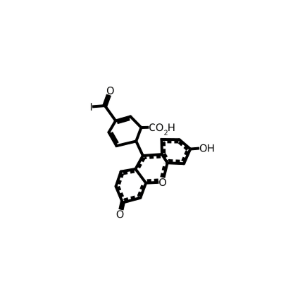 O=C(I)C1=CC(C(=O)O)C(c2c3ccc(=O)cc-3oc3cc(O)ccc23)C=C1